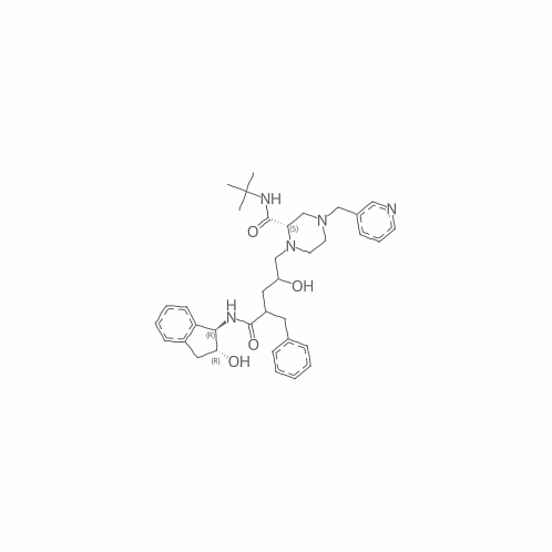 CC(C)(C)NC(=O)[C@@H]1CN(Cc2cccnc2)CCN1CC(O)CC(Cc1ccccc1)C(=O)N[C@@H]1c2ccccc2C[C@H]1O